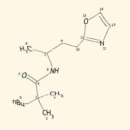 CCCCC(C)(C)C(=O)NC(C)CCc1ncco1